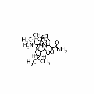 CC(C)(C)[C@H](N)C(=O)N1C[C@H]2[C@@H](C1C(=O)NC(CC1CCC1)C(=O)C(N)=O)C2(C)C